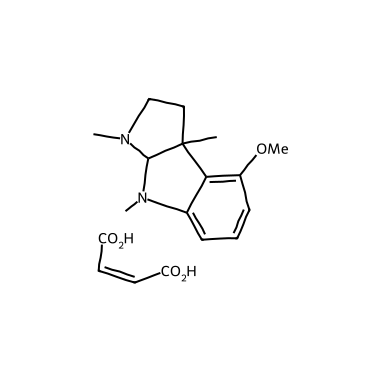 COc1cccc2c1C1(C)CCN(C)C1N2C.O=C(O)/C=C\C(=O)O